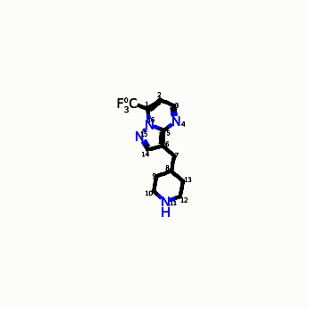 FC(F)(F)c1ccnc2c(CC3CCNCC3)cnn12